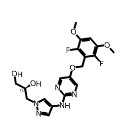 COc1cc(OC)c(F)c(COc2cnc(Nc3cnn(C[C@H](O)CO)c3)nc2)c1F